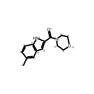 Cc1ccc2[nH]c(C(=O)N3CCOCC3)cc2c1